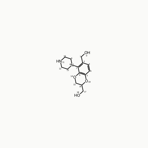 OCc1ccc2c(c1N1CCNCC1)OCC(CO)O2